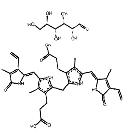 C=CC1=C(C)/C(=C/c2[nH]c(Cc3[nH]c(/C=C4\NC(=O)C(C)=C4C=C)c(C)c3CCC(=O)O)c(CCC(=O)O)c2C)NC1=O.O=C[C@H](O)[C@@H](O)[C@H](O)[C@H](O)CO